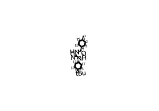 Cc1ccc(C(=O)NC(=N)Nc2ccc(C(C)(C)C)cc2)cc1